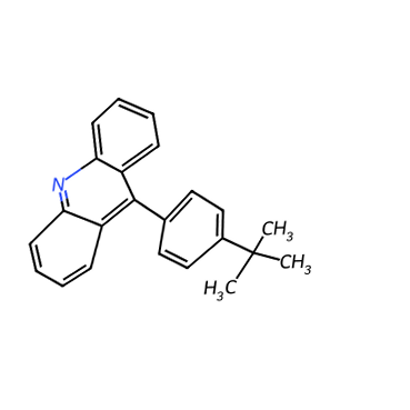 CC(C)(C)c1ccc(-c2c3ccccc3nc3ccccc23)cc1